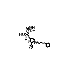 NC(CO)(CCc1ccc(OCCCCCc2ccccc2)c(-c2ccoc2)c1)COP(=O)(O)O